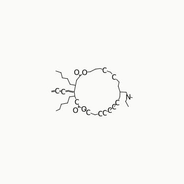 C=C=C=C=C1C(CCCCC)CC(=O)OCCCCCCCCC(CN(C)CC)CCCCCCCCOC(=O)CC1CCCCC